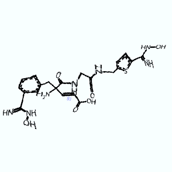 N=C(NO)c1cccc(CC(N)(/C=C/C(=O)O)C(=O)NCC(=O)NCc2ccc(C(=N)NO)s2)c1